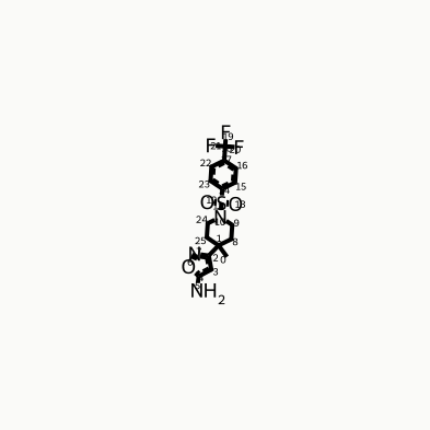 CC1(c2cc(N)on2)CCN(S(=O)(=O)c2ccc(C(F)(F)F)cc2)CC1